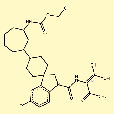 CCOC(=O)NC1CCCCC(N2CCC3(CC2)CN(C(=O)N/C(C(C)=N)=C(\C)O)c2ccc(F)cc23)C1